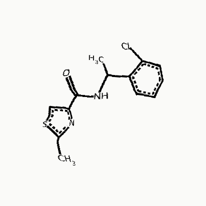 Cc1nc(C(=O)NC(C)c2ccccc2Cl)cs1